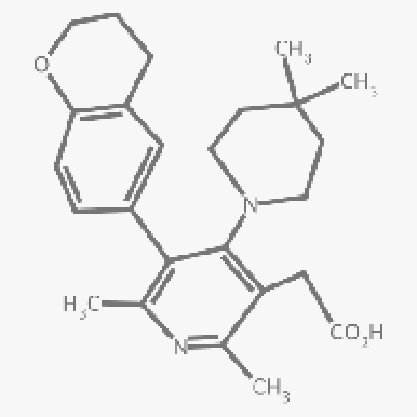 Cc1nc(C)c(-c2ccc3c(c2)CCCO3)c(N2CCC(C)(C)CC2)c1CC(=O)O